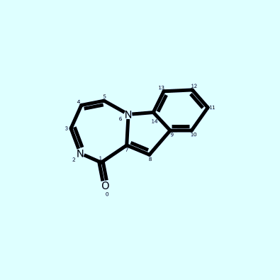 O=c1ncccn2c1cc1ccccc12